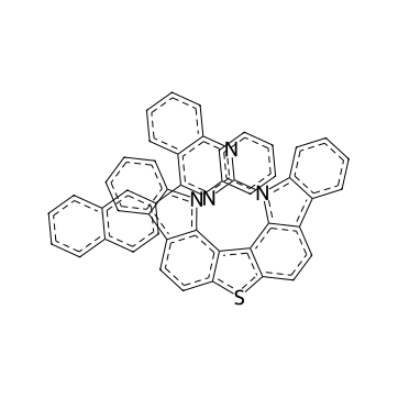 c1ccc(-n2c3ccccc3c3ccc4sc5ccc6c7ccccc7n(-c7nc(-c8ccc9ccccc9c8)c8ccccc8n7)c6c5c4c32)cc1